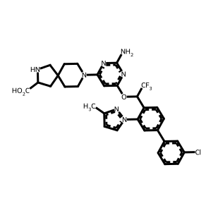 Cc1ccn(-c2cc(-c3cccc(Cl)c3)ccc2C(Oc2cc(N3CCC4(CC3)CNC(C(=O)O)C4)nc(N)n2)C(F)(F)F)n1